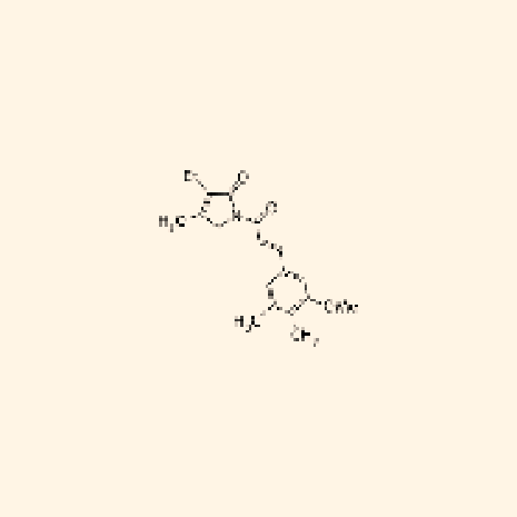 CCC1=C(C)CN(C(=O)/C=C/c2cc(C)c(C)c(OC)c2)C1=O